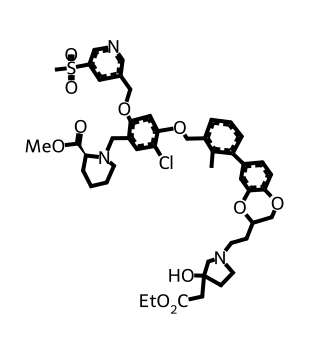 CCOC(=O)CC1(O)CCN(CCC2COc3ccc(-c4cccc(COc5cc(OCc6cncc(S(C)(=O)=O)c6)c(CN6CCCC[C@H]6C(=O)OC)cc5Cl)c4C)cc3O2)C1